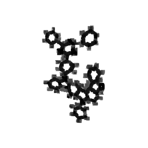 c1ccc(-c2nc(-c3ccccc3)nc(-c3ccc(-n4c5ccccc5c5cc6c(cc54)c4c5c(ccc4n6-c4ccccc4)oc4ccccc45)cc3)n2)cc1